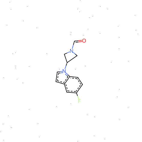 O=CN1CC(n2ccc3cc(F)ccc32)C1